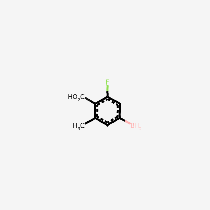 Bc1cc(C)c(C(=O)O)c(F)c1